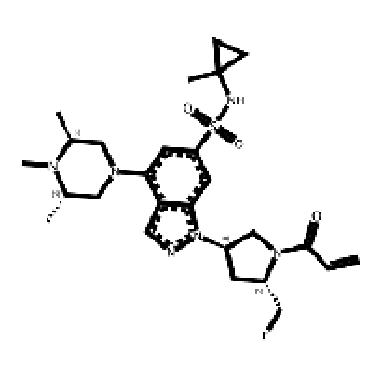 C=CC(=O)N1C[C@H](n2ncc3c(N4C[C@H](C)N(C)[C@@H](C)C4)cc(S(=O)(=O)NC4(C)CC4)cc32)C[C@H]1CF